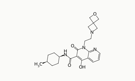 C[C@H]1CC[C@@H](NC(=O)c2c(O)c3cccnc3n(CCN3CC4(COC4)C3)c2=O)CC1